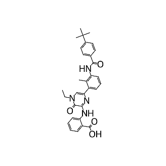 CCn1cc(-c2cccc(NC(=O)c3ccc(C(C)(C)C)cc3)c2C)nc(Nc2ccccc2C(=O)O)c1=O